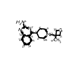 CC1(N2CCC(c3nc(N)nc4ccccc34)CC2)COC1